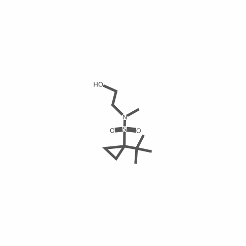 CN(CCO)S(=O)(=O)C1(C(C)(C)C)CC1